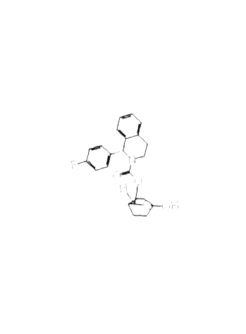 O=C(O[C@@H]1CC2(O)CCC1CC2)N1CCc2ccccc2[C@@H]1c1ccc(F)cc1